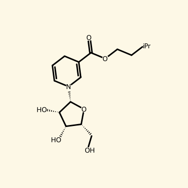 CC(C)CCOC(=O)C1=CN([C@@H]2O[C@H](CO)[C@H](O)[C@@H]2O)C=CC1